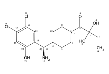 CCC(O)(O)C(=O)N1CCC([C@@H](N)c2cc(Cl)c(Cl)cc2O)CC1